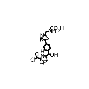 O=C(O)NCc1nnc(-c2ccc([C@@H](O)[C@@H](CF)NC(=O)C(Cl)Cl)cc2)s1